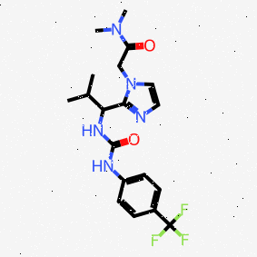 CC(C)C(NC(=O)Nc1ccc(C(F)(F)F)cc1)c1nccn1CC(=O)N(C)C